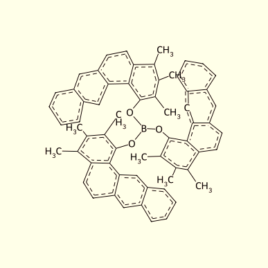 Cc1c(C)c(OB(Oc2c(C)c(C)c(C)c3ccc4cc5ccccc5cc4c23)Oc2c(C)c(C)c(C)c3ccc4cc5ccccc5cc4c23)c2c(ccc3cc4ccccc4cc32)c1C